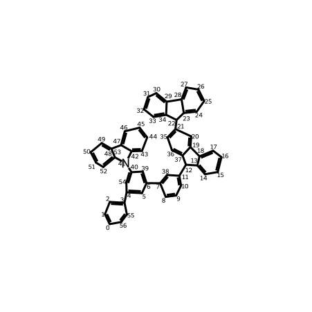 c1ccc(-c2cc(-c3cccc(C4c5ccccc5-c5cc(C6c7ccccc7-c7ccccc76)ccc54)c3)cc(-n3c4ccccc4c4ccccc43)c2)cc1